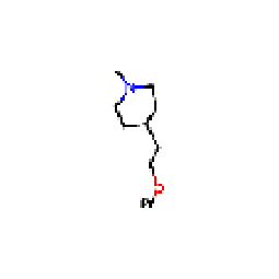 CC(C)OCCC1CCN(C)CC1